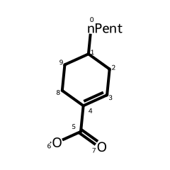 CCCCCC1CC=C(C([O])=O)CC1